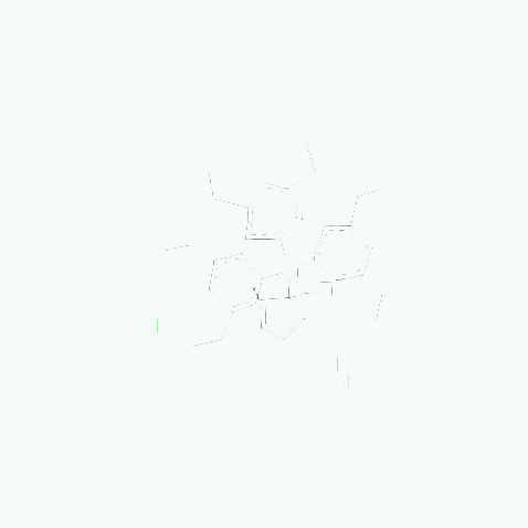 CCc1cc(CC)cc([Si](c2cc(CC)cc(CC)c2)(c2cc(CC)cc(CC)c2)[C]2([Ti+3])C=CC(C)=C2C)c1.[Cl-].[Cl-].[Cl-]